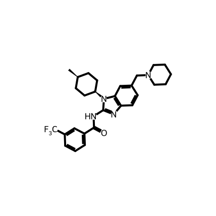 C[C@H]1CC[C@@H](n2c(NC(=O)c3cccc(C(F)(F)F)c3)nc3ccc(CN4CCCCC4)cc32)CC1